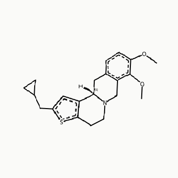 COc1ccc2c(c1OC)CN1CCc3sc(CC4CC4)cc3[C@@H]1C2